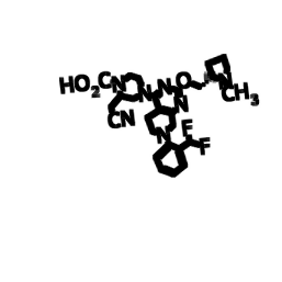 CN1CCC[C@H]1COc1nc2c(c(N3CCN(C(=O)O)C(CC#N)C3)n1)CCN(c1ccccc1C(F)F)C2